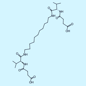 CC(C)[C@H](NC(=O)CCC(=O)O)C(=O)NCCCCCCCCCCCNC(=O)[C@@H](NC(=O)CCC(=O)O)C(C)C